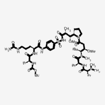 CC[C@H](C)[C@@H]([C@@H](CC(=O)N1CCC[C@H]1[C@H](OC)[C@@H](C)C(=O)NS(=O)(=O)c1ccc(NC(=O)[C@H](CCCNC(N)=O)NC(=O)[C@@H](NC(=O)OC(C)(C)C)C(C)C)cc1)OC)N(C)C(=O)[C@@H](NC(=O)[C@H](C(C)C)N(C)C)C(C)C